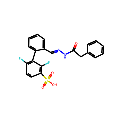 O=C(Cc1ccccc1)NN=Cc1ccccc1-c1c(F)ccc(S(=O)(=O)O)c1F